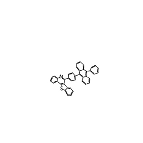 c1ccc(-c2c3ccccc3c(-c3ccc(-c4nc5ccccc5c5sc6ccccc6c45)cc3)c3ccccc23)cc1